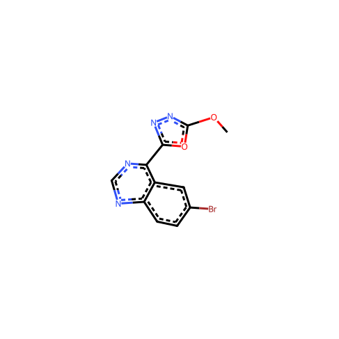 COc1nnc(-c2ncnc3ccc(Br)cc23)o1